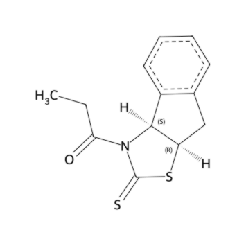 CCC(=O)N1C(=S)S[C@@H]2Cc3ccccc3[C@@H]21